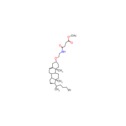 CC(=O)OOC(=O)CCC(=O)NCCO[C@H]1CC[C@@]2(C)C(=CCC3C2CC[C@@]2(C)C3CC[C@@H]2[C@H](C)CCCC(C)C)C1